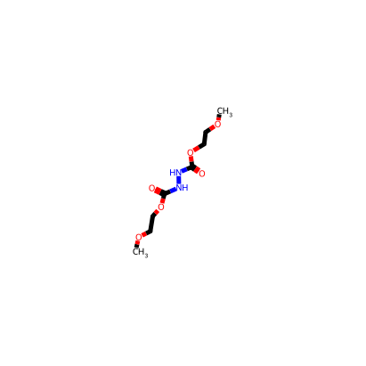 COCCOC(=O)NNC(=O)OCCOC